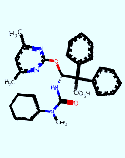 Cc1cc(C)nc(O[C@@H](NC(=O)N(C)C2CCCCC2)C(C(=O)O)(c2ccccc2)c2ccccc2)n1